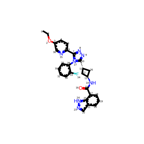 CCOc1ccc(-c2nnc([C@H]3C[C@H](NC(=O)c4cccc5cn[nH]c45)C3)n2-c2ccccc2F)nc1